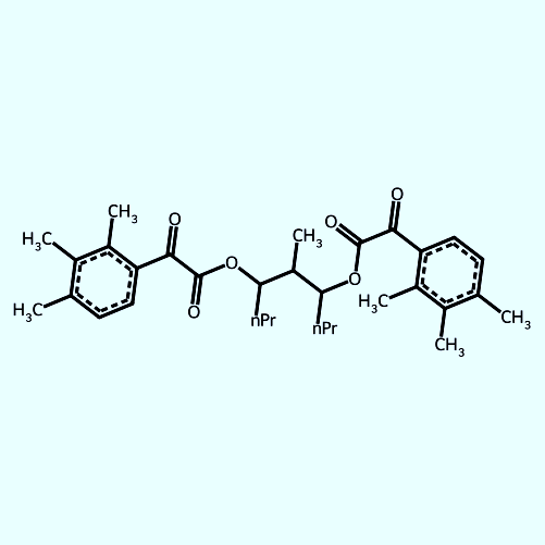 CCCC(OC(=O)C(=O)c1ccc(C)c(C)c1C)C(C)C(CCC)OC(=O)C(=O)c1ccc(C)c(C)c1C